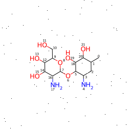 CC1CC(N)C(OC2OC(CO)C(O)C(O)C2N)C(O)C1O